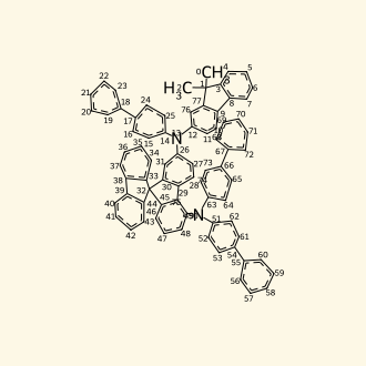 CC1(C)c2ccccc2-c2ccc(N(c3ccc(-c4ccccc4)cc3)c3ccc4c(c3)C3(c5ccccc5-c5ccccc53)c3cccc(N(c5ccc(-c6ccccc6)cc5)c5ccc(-c6ccccc6)cc5)c3-4)cc21